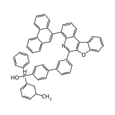 CC1C=CC=C([PH](O)(c2ccccc2)c2ccc(-c3cccc(-c4nc5c(-c6cc7ccccc7c7ccccc67)cccc5c5c4oc4ccccc45)c3)cc2)C1